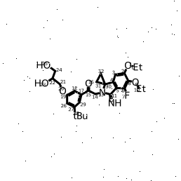 CCOc1cc2c(c(F)c1OCC)C(=N)N(CC(=O)c1cc(OCC(O)CO)cc(C(C)(C)C)c1)C21CC1